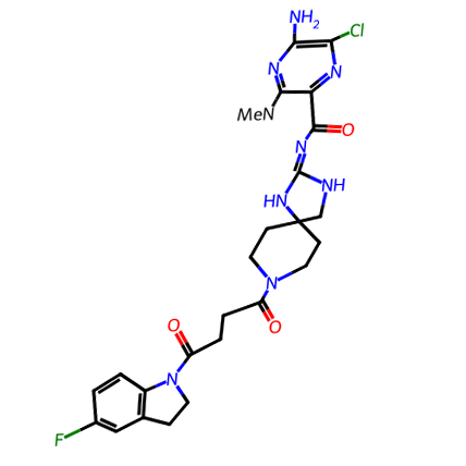 CNc1nc(N)c(Cl)nc1C(=O)/N=C1\NCC2(CCN(C(=O)CCC(=O)N3CCc4cc(F)ccc43)CC2)N1